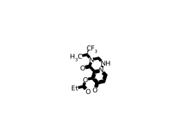 CCC(=O)Oc1c2n(ccc1=O)NCN([C@H](C)C(F)(F)F)C2=O